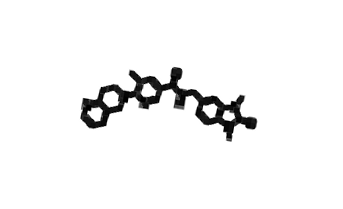 Cc1cc(C(=O)NCc2ccc3c(c2)n(C)c(=O)n3C)cnc1N1CCc2ncccc2C1